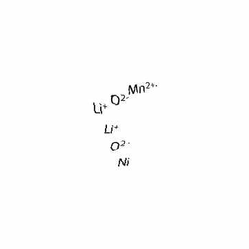 [Li+].[Li+].[Mn+2].[Ni].[O-2].[O-2]